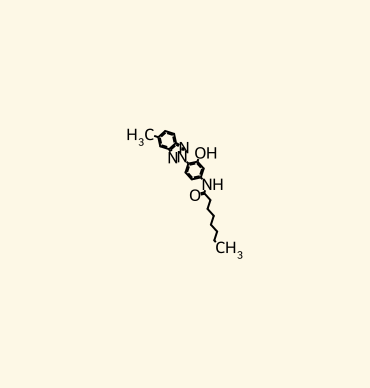 CCCCCCCC(=O)Nc1ccc(-n2nc3ccc(C)cc3n2)c(O)c1